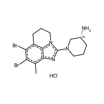 Cc1c(Br)c(Br)c2c3c1nc(N1CCC[C@@H](N)C1)n3CCC2.Cl